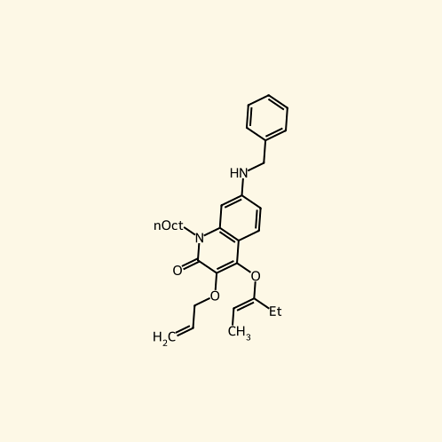 C=CCOc1c(OC(=CC)CC)c2ccc(NCc3ccccc3)cc2n(CCCCCCCC)c1=O